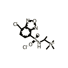 CC(NS(=O)(=O)c1ccc(Cl)c2nonc12)[N+](C)(C)C.[Cl-]